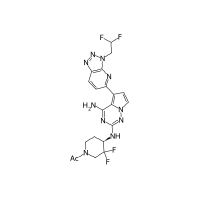 CC(=O)N1CC[C@@H](Nc2nc(N)c3c(-c4ccc5nnn(CC(F)F)c5n4)ccn3n2)C(F)(F)C1